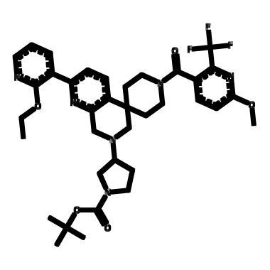 CCOc1ncccc1-c1ccc2c(n1)CN(C1CCN(C(=O)OC(C)(C)C)C1)CC21CCN(C(=O)c2ccc(OC)nc2C(F)(F)F)CC1